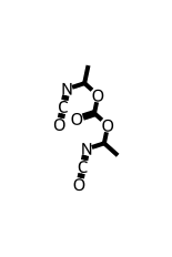 CC(N=C=O)OC(=O)OC(C)N=C=O